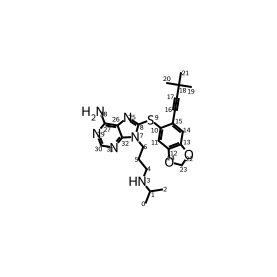 CC(C)NCCCn1c(Sc2cc3c(cc2C#CC(C)(C)C)OCO3)nc2c(N)ncnc21